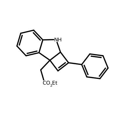 CCOC(=O)CC12C=C(c3ccccc3)C1Nc1ccccc12